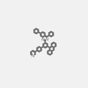 c1ccc(-c2ccc3c(-c4ccccc4)nc(-c4cc(-c5ccc(-c6cccnc6)cc5)cc(-c5c6ccccc6cc6ccccc56)c4)nc3c2)cc1